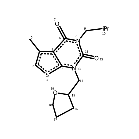 Cc1csc2c1c(=O)n(CC(C)C)c(=O)n2CC1CCCO1